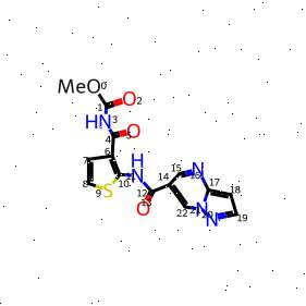 COC(=O)NC(=O)c1ccsc1NC(=O)c1cnc2ccnn2c1